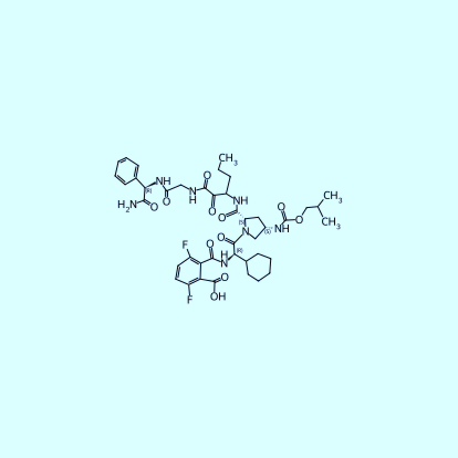 CCCC(NC(=O)[C@@H]1C[C@H](NC(=O)OCC(C)C)CN1C(=O)[C@H](NC(=O)c1c(F)ccc(F)c1C(=O)O)C1CCCCC1)C(=O)C(=O)NCC(=O)N[C@@H](C(N)=O)c1ccccc1